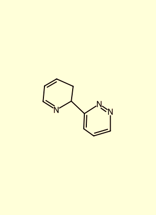 C1=CCC(c2cccnn2)N=C1